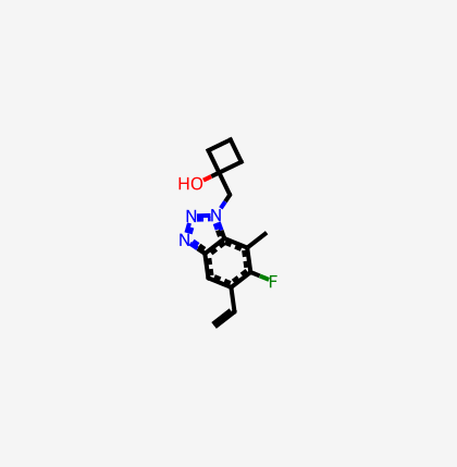 C=Cc1cc2nnn(CC3(O)CCC3)c2c(C)c1F